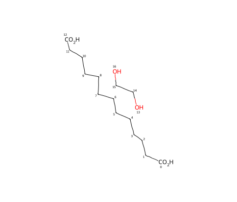 O=C(O)CCCCCCCCCCCC(=O)O.OCCO